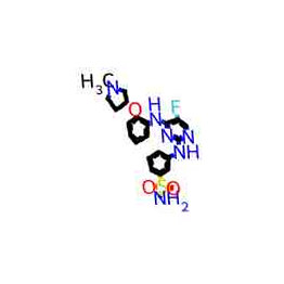 CN1CCC(Oc2ccccc2Nc2nc(Nc3cccc(S(N)(=O)=O)c3)ncc2F)C1